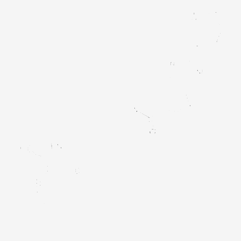 CC(NC(=O)C1CCC(NC(=O)c2ccc3[nH]c(-c4ccccc4)nc3c2)CC1)c1ccc(F)cc1